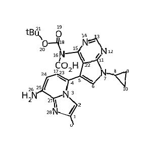 Cc1cn2c(-c3cn(C4CC4)c4ncnc(N(C(=O)O)C(=O)OC(C)(C)C)c34)ccc(N)c2n1